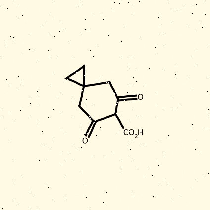 O=C(O)C1C(=O)CC2(CC2)CC1=O